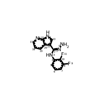 N/N=C(/Nc1cccc(F)c1F)c1c[nH]c2ncccc12